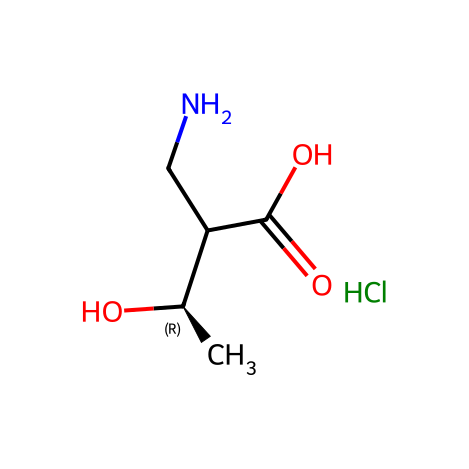 C[C@@H](O)C(CN)C(=O)O.Cl